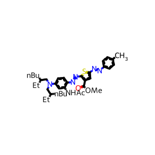 CCCCC(CC)CN(CC(CC)CCCC)c1ccc(/N=N/c2sc(N=Nc3ccc(C)cc3)cc2C(=O)OC)c(NC(C)=O)c1